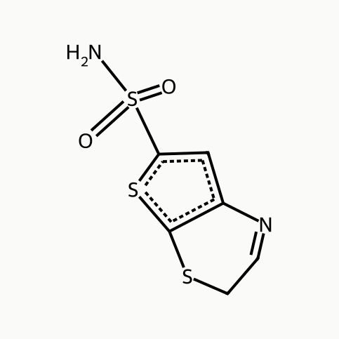 NS(=O)(=O)c1cc2c(s1)SCC=N2